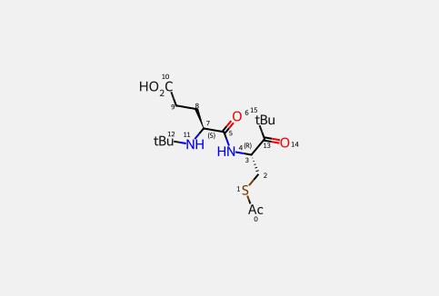 CC(=O)SC[C@H](NC(=O)[C@H](CCC(=O)O)NC(C)(C)C)C(=O)C(C)(C)C